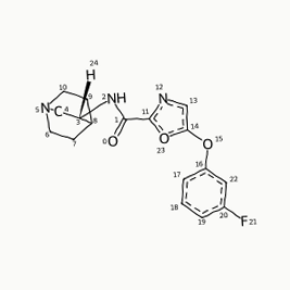 O=C(N[C@H]1CN2CCC1CC2)c1ncc(Oc2cccc(F)c2)o1